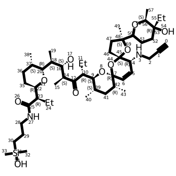 C#CCN[C@@H]1C=C[C@]2(O[C@H]([C@@H](CC)C(=O)[C@@H](C)[C@@H](O)[C@H](C)[C@@H]3O[C@@H]([C@@H](CC)C(=O)NCCC[Si](C)(C)O)CC[C@@H]3C)[C@@H](C)C[C@H]2C)O[C@@]12CC[C@@](C)(C1CC[C@](O)(CC)[C@H](C)O1)O2